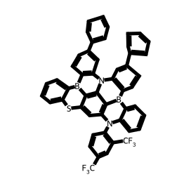 FC(F)(F)c1ccc(N2c3ccccc3B3c4ccc(-c5ccccc5)cc4N4c5cc(-c6ccccc6)ccc5B5c6ccccc6Sc6cc2c3c4c65)c(C(F)(F)F)c1